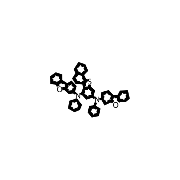 c1ccc(N(c2ccc3c(c2)oc2ccccc23)c2cc(N(c3ccccc3)c3ccc4c(c3)oc3ccccc34)c3c(c2)sc2c4ccccc4ccc23)cc1